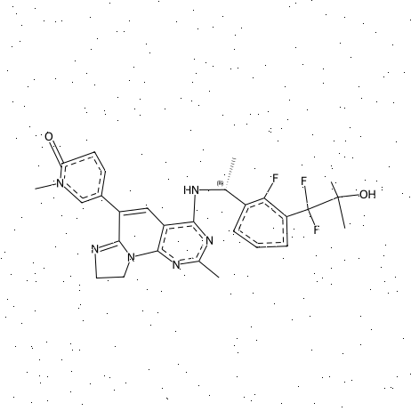 Cc1nc(N[C@H](C)c2cccc(C(F)(F)C(C)(C)O)c2F)c2c(n1)N1CCN=C1C(c1ccc(=O)n(C)c1)=C2